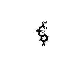 O=C(O)CC(Cl)(Cl)Cc1cccc(Br)c1